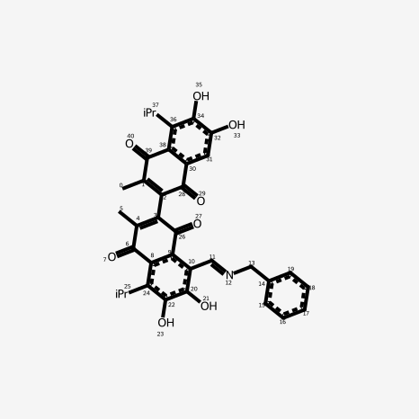 CC1=C(C2=C(C)C(=O)c3c(c(/C=N/Cc4ccccc4)c(O)c(O)c3C(C)C)C2=O)C(=O)c2cc(O)c(O)c(C(C)C)c2C1=O